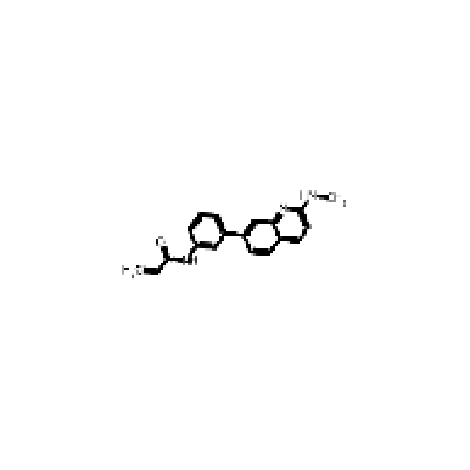 C=CC(=O)Nc1cccc(-c2ccc3ccc(NC)nc3c2)c1